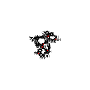 CN[C@H](CC(C)C)C(=O)N[C@H]1C(=O)N[C@@H](CC(N)=O)C(=O)N[C@H]2C(=N)N[C@H]3C(=O)N[C@H](C(=O)N[C@H](C(=O)O)C4=CC(O)CC(O)=C4C4CC3=CC=C4O)[C@H](O)C3=CC=C(Oc4cc2cc(c4O[C@H]2OC(CO)C(O)[C@@H]4c5cc(ccc5-c5ccc(Cl)cc5)CNC5(C)C[C@H](OC24)OC(C)[C@H]5O)OC2=C(Cl)C=C(CC2)[C@H]1O)C(Cl)C3